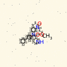 COCCCN1C(=O)CCc2ccc(N(C(=O)[C@H]3CNCC[C@@H]3c3cccc(-c4ccccc4)c3)C3CC3)cc21